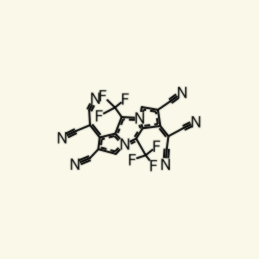 N#CC(C#N)=c1c(C#N)cn2c(C(F)(F)F)c3c(=C(C#N)C#N)c(C#N)cn3c(C(F)(F)F)c12